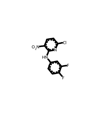 O=[N+]([O-])c1ccc(Cl)nc1Nc1ccc(F)c(F)c1